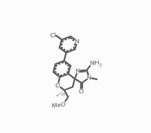 COC[C@]1(C)CC2(N=C(N)N(C)C2=O)c2cc(-c3cncc(Cl)c3)ccc2O1